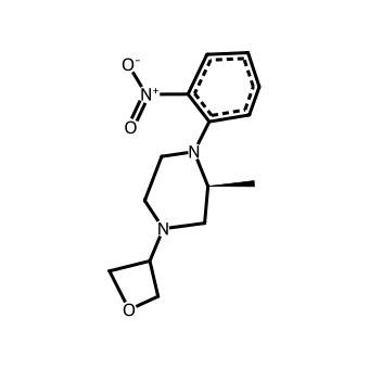 C[C@H]1CN(C2COC2)CCN1c1ccccc1[N+](=O)[O-]